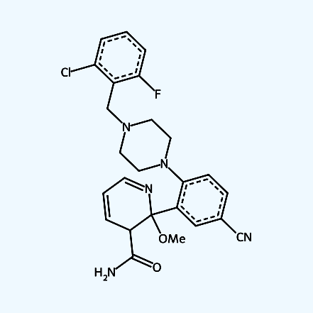 COC1(c2cc(C#N)ccc2N2CCN(Cc3c(F)cccc3Cl)CC2)N=CC=CC1C(N)=O